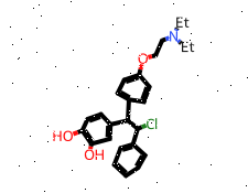 CCN(CC)CCOc1ccc(C(c2ccc(O)c(O)c2)C(Cl)c2ccccc2)cc1